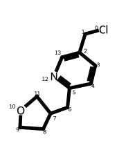 ClCc1ccc(CC2CCOC2)nc1